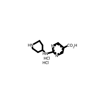 Cl.Cl.O=C(O)c1cnc(NC2CCNCC2)nc1